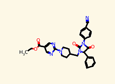 CCOC(=O)c1cnc(N2CCC(CN3C(=O)N(c4ccc(C#N)cc4)C(=O)C3c3ccccc3)CC2)nc1